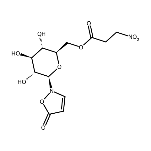 O=C(CC[N+](=O)[O-])OC[C@H]1O[C@@H](n2ccc(=O)o2)[C@H](O)[C@@H](O)[C@@H]1O